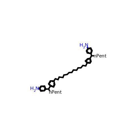 CCCCCC(c1ccc(N)cc1)c1ccc(CCCCCCCCCCCCCCc2ccc(C(CCCCC)c3ccc(N)cc3)cc2)cc1